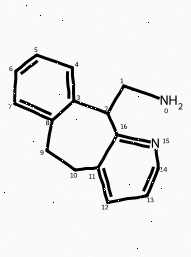 NCC1c2ccccc2CCc2cccnc21